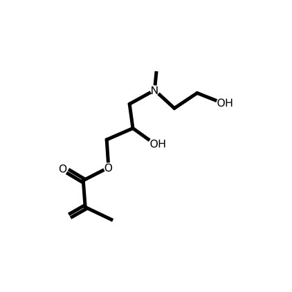 C=C(C)C(=O)OCC(O)CN(C)CCO